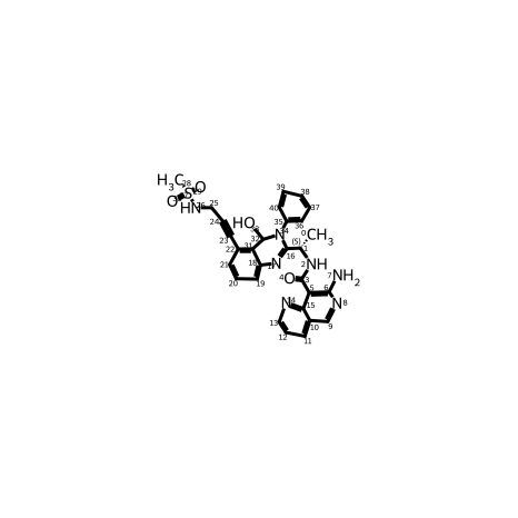 C[C@H](NC(=O)c1c(N)ncc2cccnc12)C1=Nc2cccc(C#CCNS(C)(=O)=O)c2C(O)N1c1ccccc1